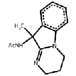 CC(=O)NC1(C)C2=NCCCN2c2ccccc21